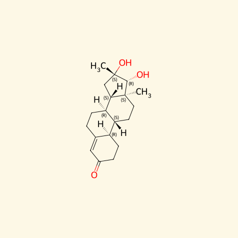 C[C@]12CC[C@H]3[C@@H](CCC4=CC(=O)CC[C@@H]43)[C@@H]1C[C@](C)(O)[C@@H]2O